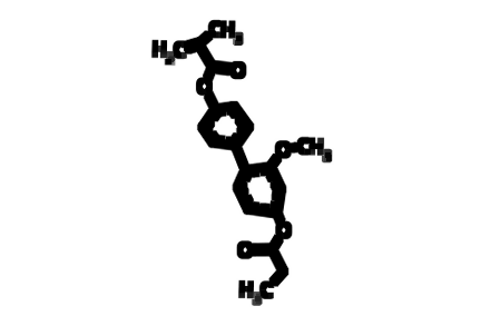 C=C(C)C(=O)Oc1ccc(-c2ccc(OC(=O)CC)cc2OC)cc1